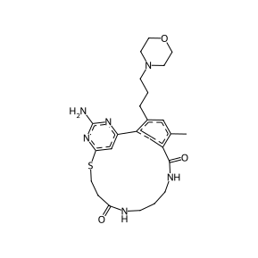 Cc1cc(CCCN2CCOCC2)c2cc1C(=O)NCCCNC(=O)CCSc1cc-2nc(N)n1